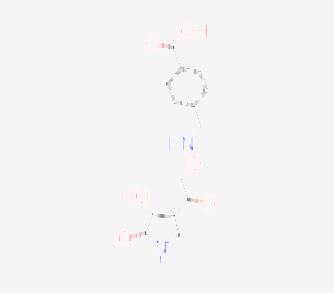 CN1CC(C(=O)CONCc2ccc(C(=O)O)cc2)=C(O)C1=O